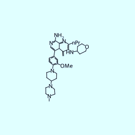 C=C1C(NC2CCOCC2)=C(CCC)N=C2C(N)=NC=C(c3ccc(N4CCC(N5CCN(C)CC5)CC4)c(OC)c3)C12